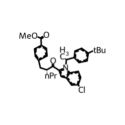 CCC[C@H](Cc1ccc(C(=O)OC)cc1)C(=O)c1cc2cc(Cl)ccc2n1[C@H](C)c1ccc(C(C)(C)C)cc1